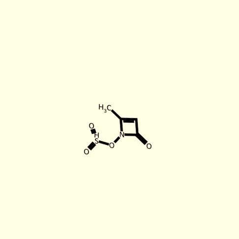 CC1=CC(=O)N1O[SH](=O)=O